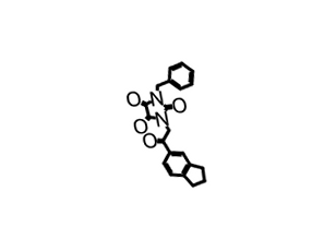 O=C(CN1C(=O)C(=O)N(Cc2ccccc2)C1=O)c1ccc2c(c1)CCC2